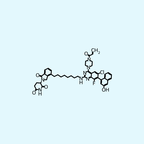 C=CC(=O)N1CCN(c2nc(NCCCCCCCCc3cccc4c3CN(C3CCC(=O)NC3=O)C4=O)nc3c(F)c(-c4cc(O)cc5ccccc45)c(Cl)cc23)CC1